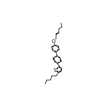 CCCC=CCOc1ccc(-c2ccc(-c3ccc(CCCCC)s3)cc2)cc1